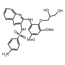 COc1cc(Nc2nc3ccccc3nc2NS(=O)(=O)c2ccc(N)cc2)c(OCC(O)CO)c(OC)c1